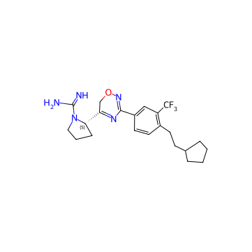 N=C(N)N1CCC[C@H]1C1=NC(c2ccc(CCC3CCCC3)c(C(F)(F)F)c2)=NOC1